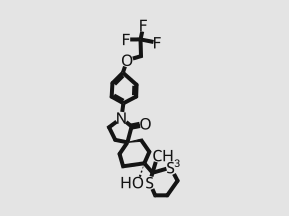 CC1([C@]2(O)CC[C@]3(CCN(c4ccc(OCC(F)(F)F)cc4)C3=O)CC2)SCCCS1